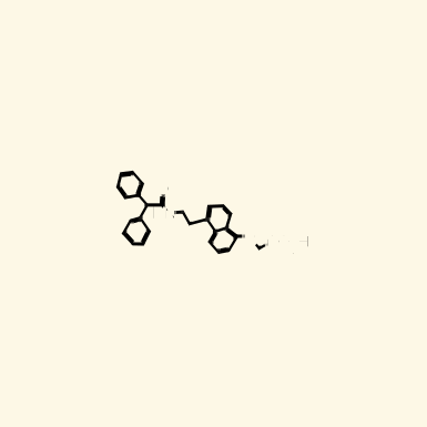 O=C(O)COc1cccc2c(CCNC(=O)C(c3ccccc3)c3ccccc3)cccc12